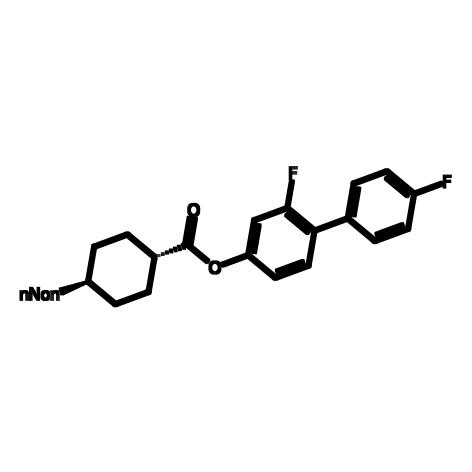 CCCCCCCCC[C@H]1CC[C@H](C(=O)Oc2ccc(-c3ccc(F)cc3)c(F)c2)CC1